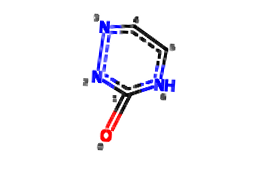 O=c1nncc[nH]1